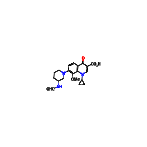 COc1c(N2CCCC(NC=O)C2)ccc2c(=O)c(C(=O)O)cn(C3CC3)c12